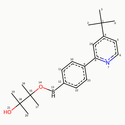 CC(C)(C)c1ccnc(-c2ccc(BOC(C)(C)C(C)(C)O)cc2)c1